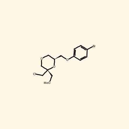 COC[C@@]1(CCl)COC[C@@H](COc2ccc(Br)cc2)O1